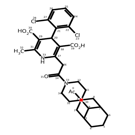 CC(=O)N1CC2CCCC(C1)C2N1CCN(C(=O)CC2=C(C(=O)O)C(c3c(Cl)cccc3Cl)C(C(=O)O)=C(C)N2)CC1